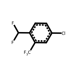 FC(F)c1ccc(Cl)cc1C(F)(F)F